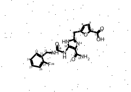 NC(=O)c1nc(Cc2ccc(C(=O)O)o2)[nH]c1NC(=O)NCc1ccccc1F